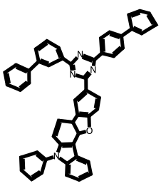 C1=CC2c3cc(-c4nc(-c5ccc(-c6ccccc6)cc5)nc(-c5cccc(-c6ccccc6)c5)n4)ccc3OC2c2c1n(-c1ccccc1)c1ccccc21